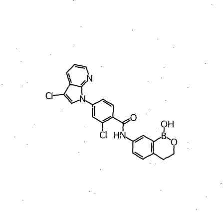 O=C(Nc1ccc2c(c1)B(O)OCC2)c1ccc(-n2cc(Cl)c3cccnc32)cc1Cl